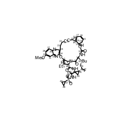 CC[C@@H]1[C@@H]2CN(C(=O)[C@H](C(C)(C)C)NC(=O)O[C@@H]3CC=CC[C@H]3CCCCCc3nc4ccc(OC)cc4nc3O2)[C@@H]1C(=O)N[C@]1(C(=O)NS(=O)(=O)C2CC2)C[C@H]1C(F)F